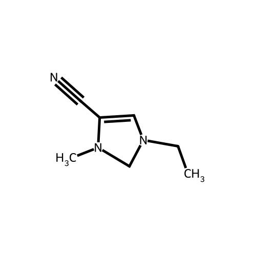 CCN1C=C(C#N)N(C)C1